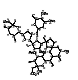 CO[C@@H]1[C@@H](OC)[C@H](C)[C@@](O)(CC(=O)O)O[C@H]1[C@H](C)[C@H]1O[C@@]2(CC[C@@](C)([C@H]3CC[C@@](C)([C@@H]4O[C@@H]([C@H]5O[C@](C)(OC)[C@H](C)C[C@@H]5C)C[C@@H]4O[C@@H]4C[C@H](OC)[C@@H](OC)[C@H](C)O4)O3)O2)C[C@H](O)[C@H]1C